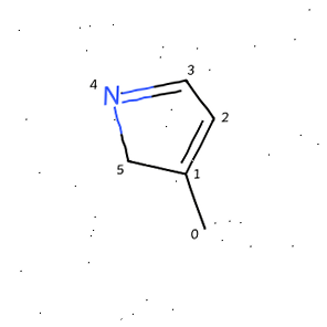 CC1=CC=NC1